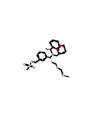 COCOCC[C@H](c1cccc(COS(C)(=O)=O)c1)N(Cc1ccccc1)[C@@H](C)c1ccccc1